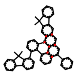 CC1(C)c2ccccc2-c2ccc(N(c3ccc(-c4ccccc4)cc3)c3cccc(-c4cccc5c4C(C)(C)c4ccccc4-5)c3-c3ccccc3-c3ccccc3)cc21